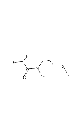 COC1CCN(C(=O)C(F)F)CC1